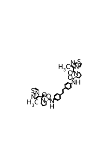 Cc1nc2sccn2c1C(=O)N1CCC[C@H]1C(=O)Nc1ccc(/C=C/c2ccc(NC(=O)[C@@H]3CCCN3C(=O)c3c(C)nc4sccn34)cc2)cc1